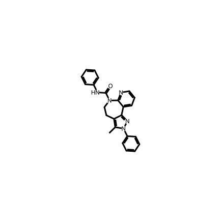 Cc1c2c(nn1-c1ccccc1)-c1cccnc1N(C(=O)Nc1ccccc1)CC2